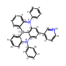 c1ccc(N2c3ccccc3B3c4ccccc4N(c4ccccc4)c4cc(-c5cccnc5)cc2c43)cc1